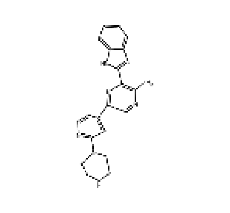 Nc1ncc(-c2ccnc(N3CCNCC3)c2)nc1-c1nc2ccccc2[nH]1